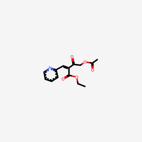 CCOC(=O)C(=Cc1ccccn1)C(=O)COC(C)=O